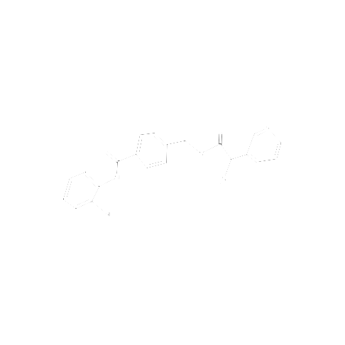 Nc1ccccc1NC(=O)c1ccc(CNC(=O)C(N)c2cccnc2)cc1